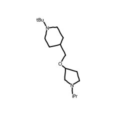 CC(C)N1CCC(OCC2CCN(C(C)(C)C)CC2)C1